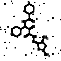 C[C@@H]1CN(C)C(=NNC(=O)C(=O)C(NC(=O)C2CCCCC2)C2CCOCC2)S1